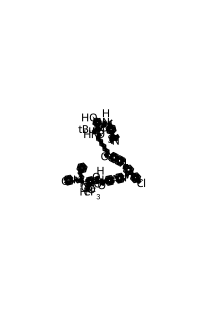 Cc1ncsc1-c1ccc([C@H](C)NC(=O)[C@@H]2C[C@@H](O)CN2C(=O)[C@@H](NC(=O)CCCCCCC(=O)N2CCC3(CCN(CC4(C)CCC(c5ccc(Cl)cc5)=C(CN5CCN(c6ccc(C(=O)NS(=O)(=O)c7ccc(NC(CCN8CCOCC8)CSc8ccccc8)c(S(=O)(=O)C(F)(F)F)c7)cc6)CC5)C4)CC3)CC2)C(C)(C)C)cc1